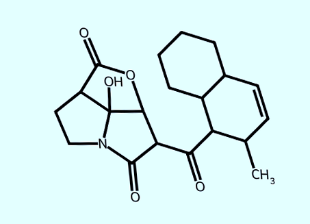 CC1C=CC2CCCCC2C1C(=O)C1C(=O)N2CCC3C(=O)OC1C32O